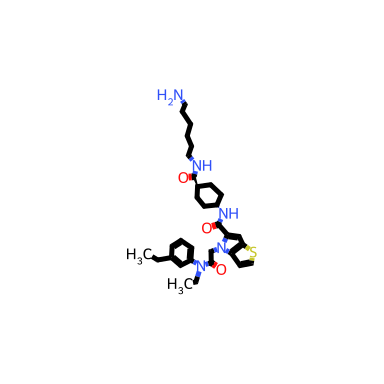 CCc1cccc(N(CC)C(=O)Cn2c(C(=O)N[C@H]3CC[C@H](C(=O)NCCCCCCN)CC3)cc3sccc32)c1